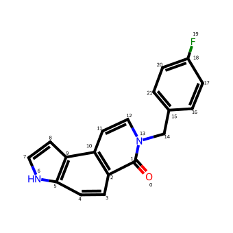 O=c1c2ccc3[nH]ccc3c2ccn1Cc1ccc(F)cc1